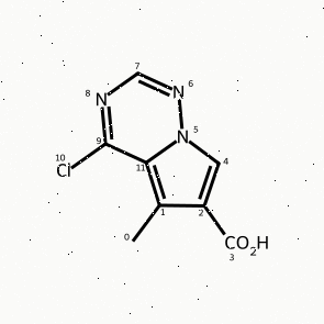 Cc1c(C(=O)O)cn2ncnc(Cl)c12